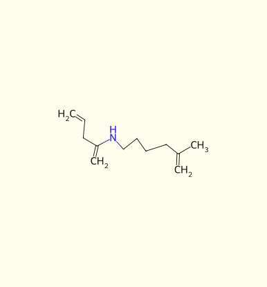 C=CCC(=C)NCCCCC(=C)C